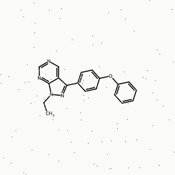 CCn1nc(-c2ccc(Oc3ccccc3)cc2)c2cncnc21